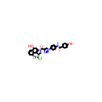 Cc1cccc2c(O)cc3c(c12)[C@H](CCl)CN3C(=O)c1cn(-c2ccc(NC(=O)c3ccc(O)cc3)cc2)nn1